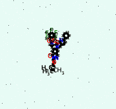 C[Si](C)(C)CCOCn1ncc2cc(N(Cc3ccc(C4CCCCC4)nc3)C(=O)[C@H]3CCN3S(=O)(=O)c3c(F)c(F)c(F)c(F)c3F)ccc2c1=O